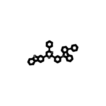 c1ccc(-c2cc(-c3ccc4c(c3)oc3ccccc34)nc(-c3cccc(-n4c5ccccc5c5c(-c6ccccc6)cccc54)c3)n2)cc1